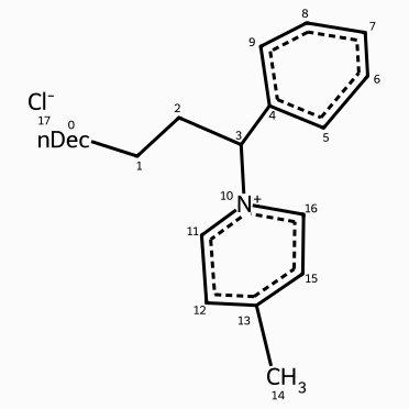 CCCCCCCCCCCCC(c1ccccc1)[n+]1ccc(C)cc1.[Cl-]